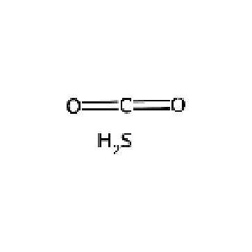 O=C=O.S